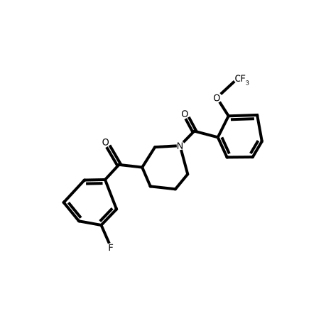 O=C(c1cccc(F)c1)C1CCCN(C(=O)c2ccccc2OC(F)(F)F)C1